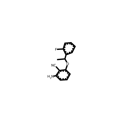 CC(Oc1cccc(N)c1C#N)c1ccccc1F